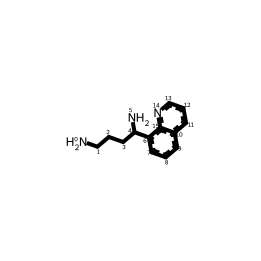 NCCCC(N)c1cccc2cccnc12